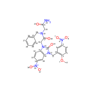 COc1ccc([N+](=O)[O-])cc1Cn1c(=O)n(CC(=O)N(CC(N)=O)Cc2ccccc2)c2ccc([N+](=O)[O-])cc21